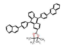 CC1(C)OB(c2ccc3c(-c4ccc(-c5ccc6ccccc6c5)cc4)c4ccccc4c(-c4ccc(-c5ccc6ccccc6c5)cc4)c3c2)OC1(C)C